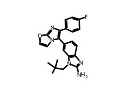 CC(C)(C)Cn1c(N)nc2ccc(-c3c(-c4ccc(F)cc4)nc4occn34)cc21